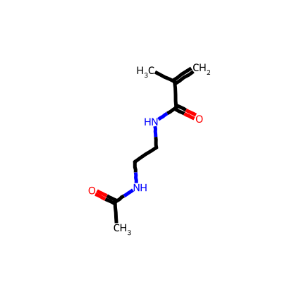 C=C(C)C(=O)NCCNC(C)=O